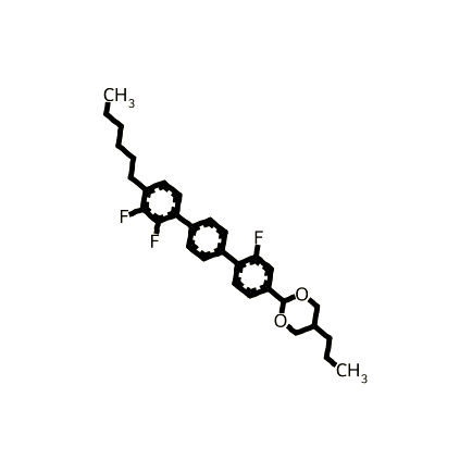 CCCCCCc1ccc(-c2ccc(-c3ccc(C4OCC(CCC)CO4)cc3F)cc2)c(F)c1F